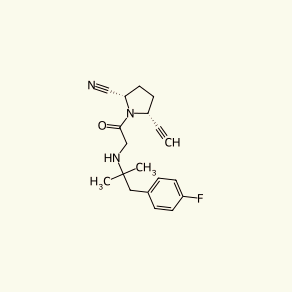 C#C[C@H]1CC[C@@H](C#N)N1C(=O)CNC(C)(C)Cc1ccc(F)cc1